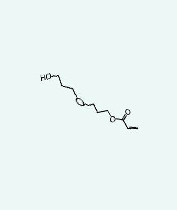 C=CC(=O)OCCCOCCCO